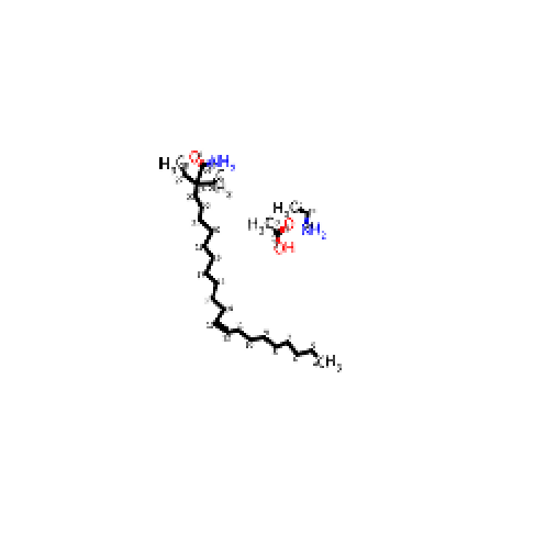 CC(=O)O.CCCCCCCC/C=C\CCCCCCCCCCC(CC)(CC)C(N)=O.CCN